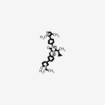 Cc1cnn(C)c1-c1ccc(NC(=O)[C@H](Cc2cc(-c3ccc(=O)n(C(C)C)c3)ccc2Cl)NC(=O)C(C)C2CC2)cc1